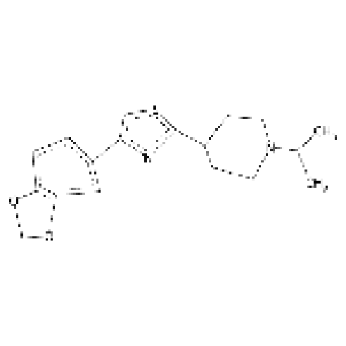 CC(C)N1CCC(c2nc(-c3ccc4c(c3)OCO4)cs2)CC1